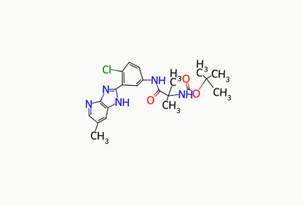 Cc1cnc2nc(-c3cc(NC(=O)C(C)(C)NC(=O)OC(C)(C)C)ccc3Cl)[nH]c2c1